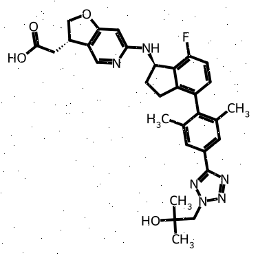 Cc1cc(-c2nnn(CC(C)(C)O)n2)cc(C)c1-c1ccc(F)c2c1CC[C@H]2Nc1cc2c(cn1)[C@H](CC(=O)O)CO2